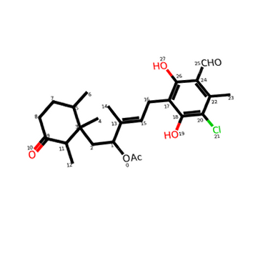 CC(=O)OC(CC1(C)C(C)CCC(=O)C1C)/C(C)=C/Cc1c(O)c(Cl)c(C)c(C=O)c1O